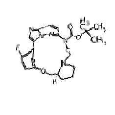 CC(C)(C)OC(=O)N1CCN2CCC[C@H]2COc2ccc(F)c(c2)-c2cnc3ccc1nn23